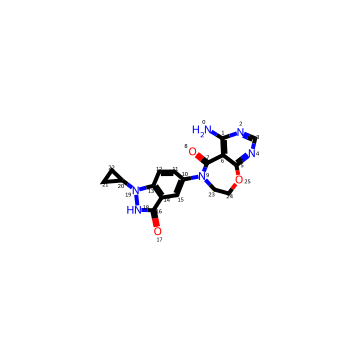 Nc1ncnc2c1C(=O)N(c1ccc3c(c1)c(=O)[nH]n3C1CC1)CCO2